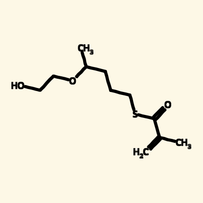 C=C(C)C(=O)SCCCC(C)OCCO